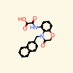 O=C(O)C(=O)Nc1cccc2c1N(Cc1ccc3ccccc3c1)C(=O)CO2